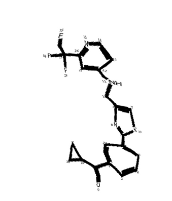 O=C(c1cccc(-c2nc(CNc3ccnc(C(F)(F)F)c3)cs2)c1)C1CC1